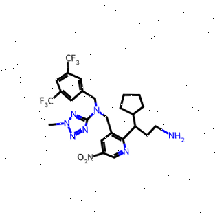 Cn1nnc(N(Cc2cc(C(F)(F)F)cc(C(F)(F)F)c2)Cc2cc([N+](=O)[O-])cnc2C(CCN)C2CCCC2)n1